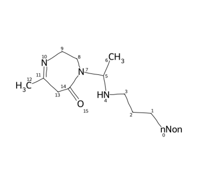 CCCCCCCCCCCCNC(C)N1CCN=C(C)CC1=O